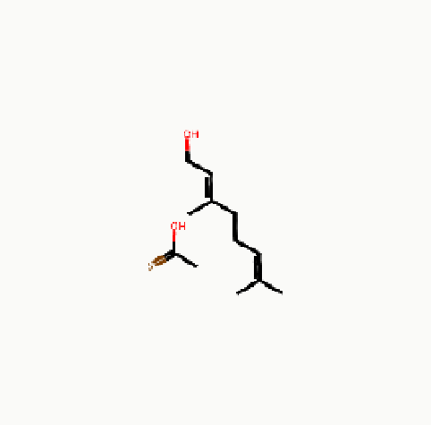 CC(C)=CCC/C(C)=C/CO.CC(O)=S